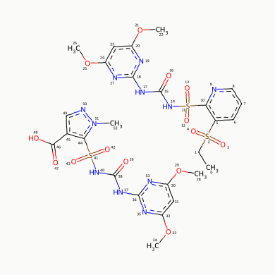 CCS(=O)(=O)c1cccnc1S(=O)(=O)NC(=O)Nc1nc(OC)cc(OC)n1.COc1cc(OC)nc(NC(=O)NS(=O)(=O)c2c(C(=O)O)cnn2C)n1